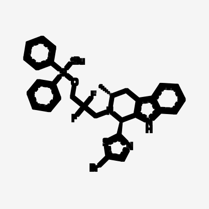 C[C@@H]1Cc2c([nH]c3ccccc23)[C@@H](c2ncc(Br)s2)N1CC(F)(F)CO[Si](c1ccccc1)(c1ccccc1)C(C)(C)C